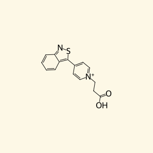 O=C(O)CC[n+]1ccc(-c2snc3ccccc23)cc1